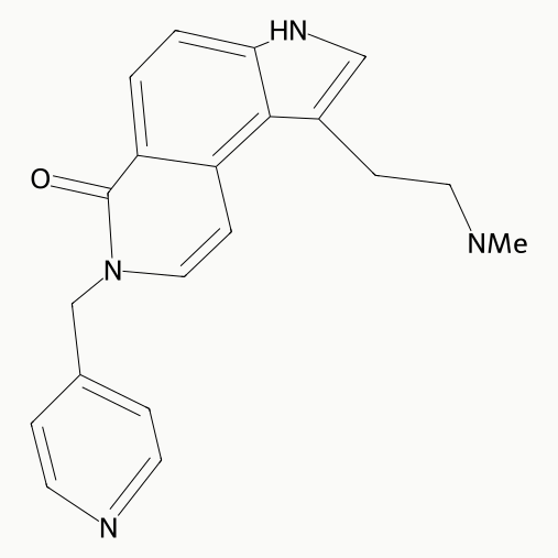 CNCCc1c[nH]c2ccc3c(=O)n(Cc4ccncc4)ccc3c12